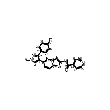 Cn1cc(-c2ccc3nc(NC(=O)c4ccnnc4)cn3n2)c(-c2ccc(F)cc2)n1